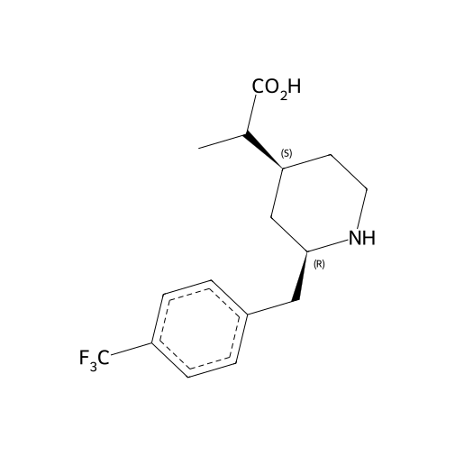 CC(C(=O)O)[C@H]1CCN[C@@H](Cc2ccc(C(F)(F)F)cc2)C1